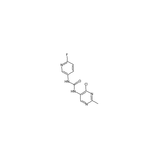 Cc1ncc(NC(=O)Nc2ccc(F)nc2)c(Cl)n1